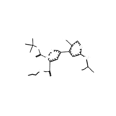 CCOC(=O)c1cc(-c2cc(NC(C)C)ncc2Cl)nn1C(=O)OC(C)(C)C